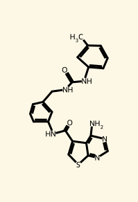 Cc1cccc(NC(=O)NCc2cccc(NC(=O)c3csc4ncnc(N)c34)c2)c1